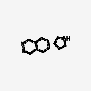 c1cc[nH]c1.c1ccc2cnncc2c1